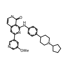 COc1cncc(-c2cc3c(c(Nc4ccc(C5CCN(C6CCCC6)CC5)cc4)n2)C(=O)[N]C=C3)c1